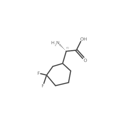 N[C@H](C(=O)O)C1CCCC(F)(F)C1